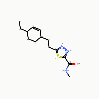 CCC1C=CC(CCc2nnc(C(=O)NC)s2)CC1